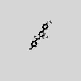 Br.Cc1ccc(C2=CCN(CC(=O)c3ccc(Br)cc3)C=N2)cc1